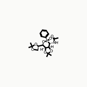 CC(=O)N[C@@H]1[C@H]2OC(C)(C)O[C@H]2[C@@H]([C@H]2COC(C)(C)O2)O[P@@]1(=O)c1ccccc1